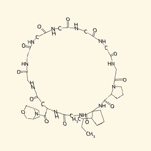 CCC(C)C1CCCC12NC(=O)C1CCCN1C(=O)CNC(=O)CNC(=O)CNC(=O)CNC(=O)CNC(=O)CNC(=O)CNC(=O)CC(C(=O)N1C3CCC1COC3)NC(=O)CNC2=O